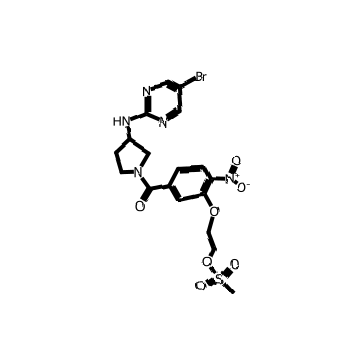 CS(=O)(=O)OCCOc1cc(C(=O)N2CCC(Nc3ncc(Br)cn3)C2)ccc1[N+](=O)[O-]